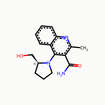 Cc1nc2c[c]ccc2c(N2CCC[C@H]2CO)c1C(N)=O